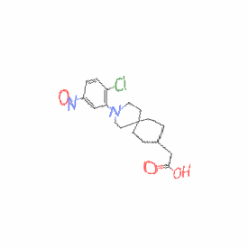 O=Nc1ccc(Cl)c(N2CCC3(CCC(CC(=O)O)CC3)CC2)c1